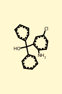 Nc1ccc(Cl)cc1C(O)(c1ccccc1)c1ccccc1